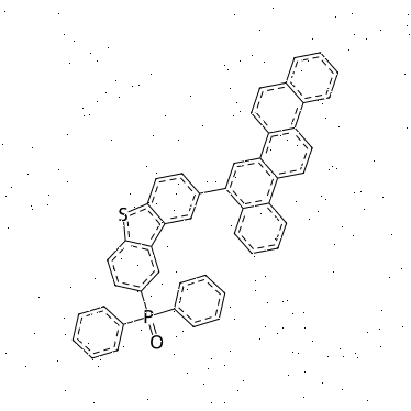 O=P(c1ccccc1)(c1ccccc1)c1ccc2sc3ccc(-c4cc5c(ccc6c7ccccc7ccc65)c5ccccc45)cc3c2c1